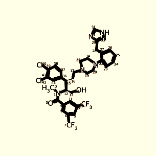 CN(C(=O)c1cc(C(F)(F)F)cc(C(F)(F)F)c1)[C@H](CO)[C@@H](CCN1CCN(c2ccccc2Cc2nc[nH]n2)CC1)c1ccc(Cl)c(Cl)c1